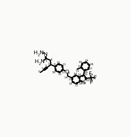 CC#CC(C/C(N)=N/N)c1ccc(OCc2ccc3sc(C(F)(F)F)c(-c4ccccc4C)c3c2)cc1